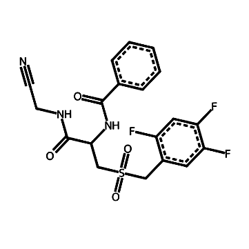 N#CCNC(=O)C(CS(=O)(=O)Cc1cc(F)c(F)cc1F)NC(=O)c1ccccc1